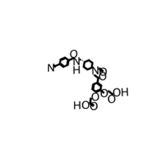 N#Cc1ccc(C(=O)NC[C@H]2CC[C@H](N(C=O)CC(=O)c3ccc(OCC(=O)O)c(OCC(=O)O)c3)CC2)cc1